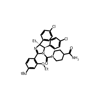 CCOc1cc(C(C)(C)C)ccc1C1=N[C@@](CC)(c2ccc(Cl)cc2)[C@@H](c2ccc(Cl)cc2)N1C(=O)N1CCC(C(N)=O)CC1